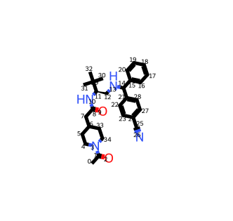 CC(=O)N1CCC(CC(=O)N[C@H](CNC(c2ccccc2)c2ccc(C#N)cc2)C(C)(C)C)CC1